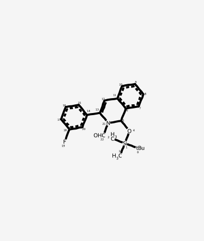 CC(C)(C)[Si](C)(C)OC1c2ccccc2C=C(c2cccc(F)c2)N1C=O